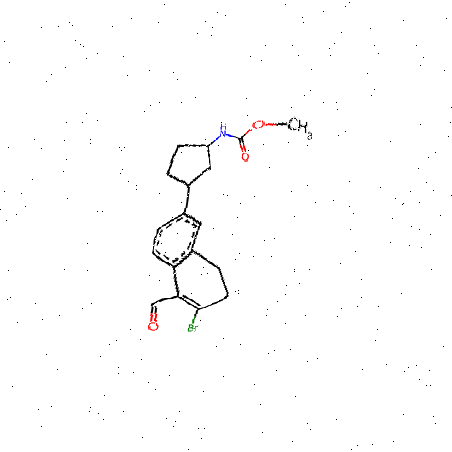 COC(=O)NC1CCC(c2ccc3c(c2)CCC(Br)=C3C=O)C1